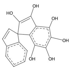 OC1=C(O)C2(C=Cc3ccccc32)c2c(O)c(O)c(O)c(O)c21